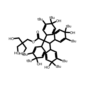 CC(C)(C)C1=CC(C(C2C=CC(O)(C(C)(C)C)C(C(C)(C)C)=C2)C(C(=O)OCC(CO)(CO)CO)(C2C=CC(O)(C(C)(C)C)C(C(C)(C)C)=C2)C2C=CC(O)(C(C)(C)C)C(C(C)(C)C)=C2)C=CC1(O)C(C)(C)C